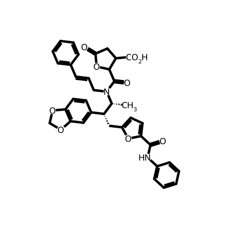 C[C@H]([C@H](Cc1ccc(C(=O)Nc2ccccc2)o1)c1ccc2c(c1)OCO2)N(C/C=C/c1ccccc1)C(=O)C1OC(=O)CC1C(=O)O